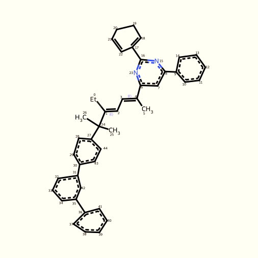 CC/C(=C\C=C(/C)c1cc(-c2ccccc2)nc(C2=CCCC=C2)n1)C(C)(C)c1ccc(-c2cccc(-c3ccccc3)c2)cc1